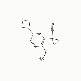 COc1ncc(C2CCC2)cc1C1(C#N)CC1